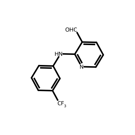 O=Cc1cccnc1Nc1cccc(C(F)(F)F)c1